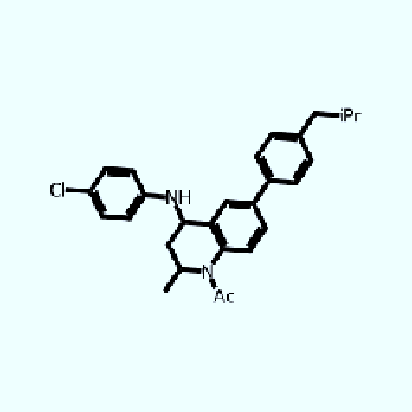 CC(=O)N1c2ccc(-c3ccc(CC(C)C)cc3)cc2C(Nc2ccc(Cl)cc2)CC1C